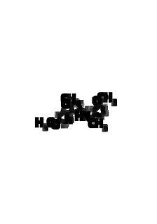 COc1ccc(-c2cc(CN[C@H](C)c3cccc(OC)c3)ccc2OC)nc1